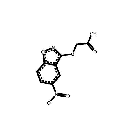 O=C(O)COc1noc2ccc([N+](=O)[O-])cc12